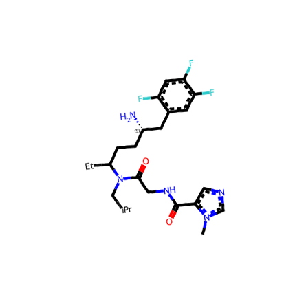 CCC(CC[C@H](N)Cc1cc(F)c(F)cc1F)N(CC(C)C)C(=O)CNC(=O)c1cncn1C